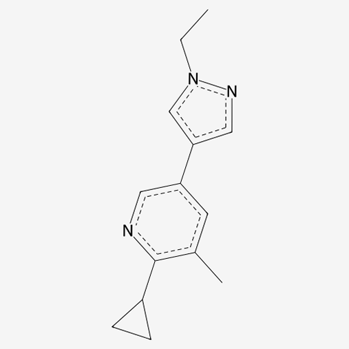 CCn1cc(-c2cnc(C3CC3)c(C)c2)cn1